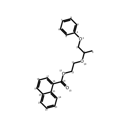 CC(COc1ccccc1)OCCOC(=O)c1cccc2ccccc12